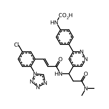 CN(C)C(=O)CC(NC(=O)C=Cc1cc(Cl)ccc1-n1cnnn1)c1cnnc(-c2ccc(NC(=O)O)cc2)c1